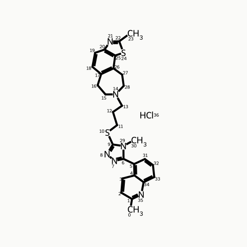 Cc1ccc2c(-c3nnc(SCCCN4CCc5ccc6nc(C)sc6c5CC4)n3C)cccc2n1.Cl